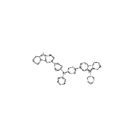 c1ccc(N(c2ccc(-c3ccc4sc5ccccc5c4c3)cc2)c2ccc(-c3ccc4c5ccccc5n(-c5ccccc5)c4c3)cc2)cc1